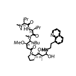 CC[C@H](C)C([C@@H](CC(=O)N1CCC[C@H]1[C@H](OC)[C@@H](C)C(O)NCCc1cccc2cccnc12)OC)N(C)C(=O)[C@@H](NC(=O)[C@H](C(C)C)N(C)C)C(C)C